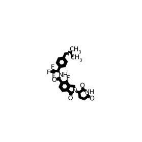 CN(C)Cc1ccc(C(NC(=O)c2ccc3c(c2F)CN(C2CCC(=O)NC2=O)C3=O)C(F)(F)F)cc1